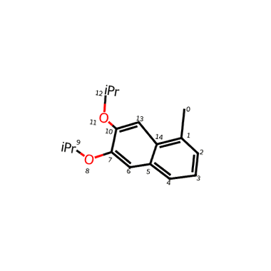 Cc1cccc2cc(OC(C)C)c(OC(C)C)cc12